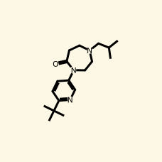 CC(C)CN1CCC(=O)N(c2ccc(C(C)(C)C)nc2)CC1